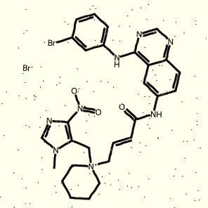 Cn1cnc([N+](=O)[O-])c1C[N+]1(C/C=C/C(=O)Nc2ccc3ncnc(Nc4cccc(Br)c4)c3c2)CCCCC1.[Br-]